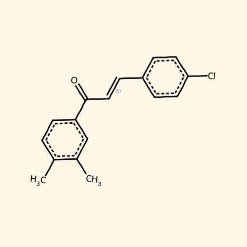 Cc1ccc(C(=O)/C=C/c2ccc(Cl)cc2)cc1C